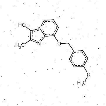 COc1ccc(COc2cccn3c(O)c(C)nc23)cc1